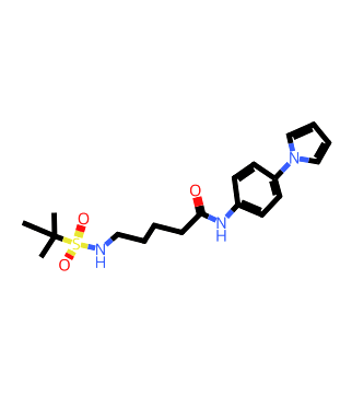 CC(C)(C)S(=O)(=O)NCCCCC(=O)Nc1ccc(-n2cccc2)cc1